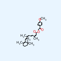 COc1ccc(C(=O)COC(=O)C=C(C)C=CC=C(C)C=CC2=C(C)CCCC2(C)C)cc1